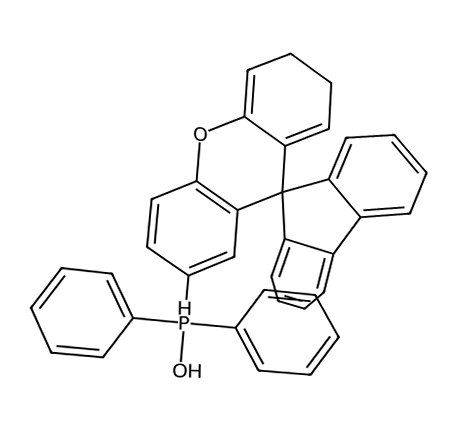 O[PH](c1ccccc1)(c1ccccc1)c1ccc2c(c1)C1(C3=CCCC=C3O2)c2ccccc2-c2ccccc21